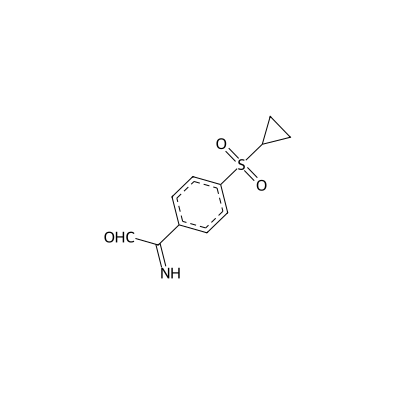 N=C(C=O)c1ccc(S(=O)(=O)C2CC2)cc1